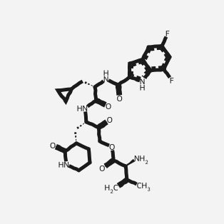 C=C(C)[C@H](N)C(=O)OCC(=O)[C@H](C[C@@H]1CCCNC1=O)NC(=O)[C@H](CC1CC1)NC(=O)c1cc2cc(F)cc(F)c2[nH]1